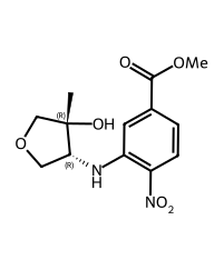 COC(=O)c1ccc([N+](=O)[O-])c(N[C@@H]2COC[C@]2(C)O)c1